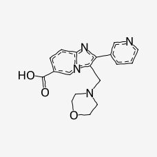 O=C(O)c1ccc2nc(-c3cccnc3)c(CN3CCOCC3)n2c1